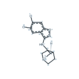 Clc1cc2onc(N[C@@H]3CN4CCC3CC4)c2cc1Cl